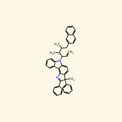 C=CC([C@@H](C)C(C)Cc1ccc2ccccc2c1)n1c2ccccc2c2c3c(ccc21)C(C)(c1ccccc1)C(c1ccccc1)=N3